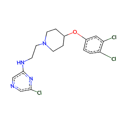 Clc1cncc(NCCN2CCC(Oc3ccc(Cl)c(Cl)c3)CC2)n1